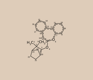 CC1(C)C(Op2oc3ccccc3c3ccccc3o2)=C2CCC1C2